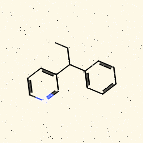 N#CCC(c1ccccc1)c1cccnc1